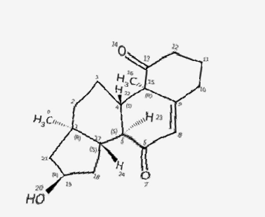 C[C@]12CC[C@H]3[C@@H](C(=O)C=C4CCCC(=O)[C@@]43C)[C@@H]1C[C@@H](O)C2